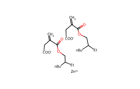 C=C(CC(=O)[O-])C(=O)OCC(CC)CCCC.C=C(CC(=O)[O-])C(=O)OCC(CC)CCCC.[Zn+2]